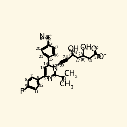 CC(C)C1=NC(c2ccc(F)cc2)=CC(c2ccc(F)cc2)N1C#C[C@@H](O)C[C@@H](O)CC(=O)[O-].[Na+]